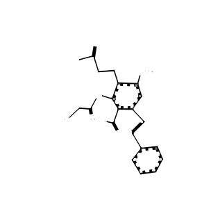 C=C(C)CCc1c(OC)cc(/C=C/c2ccccc2)c(C(=O)OC)c1OC(=O)CN